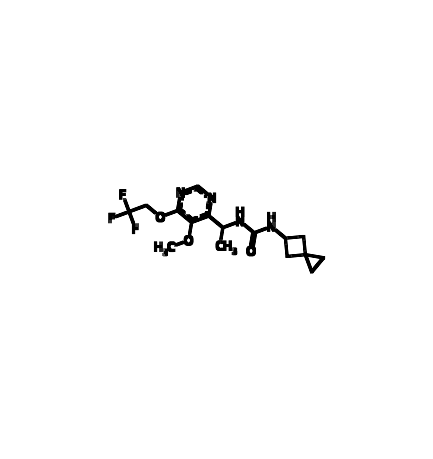 COc1c(OCC(F)(F)F)ncnc1C(C)NC(=O)NC1CC2(CC2)C1